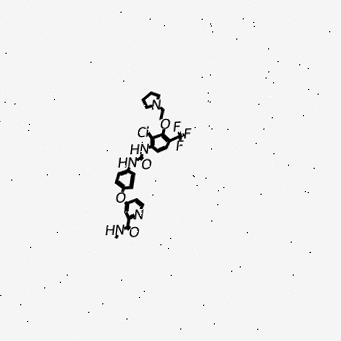 CNC(=O)c1cc(Oc2ccc(NC(=O)Nc3ccc(C(F)(F)F)c(OCCN4CCCC4)c3Cl)cc2)ccn1